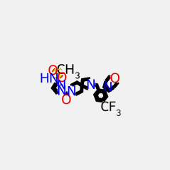 CS(=O)(=O)Nc1ccn(C(=O)N2CCC3(CCN(Cc4ccc(C(F)(F)F)cc4N4C5CCC4COC5)C3)CC2)n1